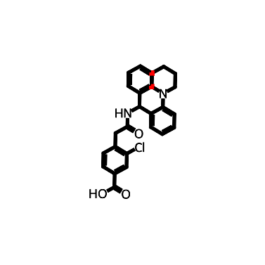 O=C(Cc1ccc(C(=O)O)cc1Cl)NC(c1ccccc1)c1ccccc1N1CCCCC1